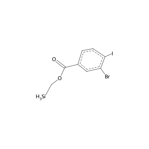 O=C(OC[SiH3])c1ccc(I)c(Br)c1